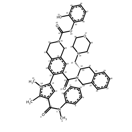 Cc1c(C(=O)N(C)c2ccccc2)cc(-c2cc3c(cc2C(=O)N2Cc4ccccc4C[C@H]2CN2CCOCC2)CN(C(=O)Oc2ccccc2O)CC3)n1C